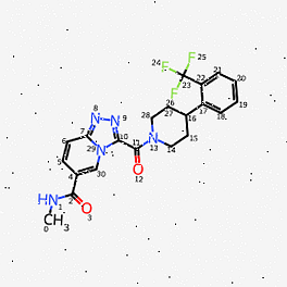 CNC(=O)c1ccc2nnc(C(=O)N3CCC(c4ccccc4C(F)(F)F)CC3)n2c1